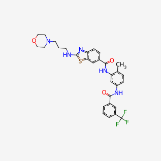 Cc1ccc(NC(=O)c2cccc(C(F)(F)F)c2)cc1NC(=O)c1ccc2nc(NCCCN3CCOCC3)sc2c1